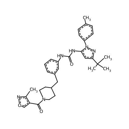 Cc1ccc(-n2nc(C(C)(C)C)cc2NC(=O)Nc2cccc(CC3CCN(C(=O)c4conc4C)CC3)c2)cc1